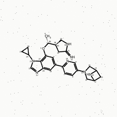 C[C@@H](Oc1cc(-c2ccc(N3CC4CC(C3)N4)cn2)cc2ncn(C3CC3)c12)[C@H]1CNC(=N)C1